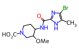 COC1CN(C(=O)O)CCC1NC(=O)c1nc(Br)c(C)[nH]1